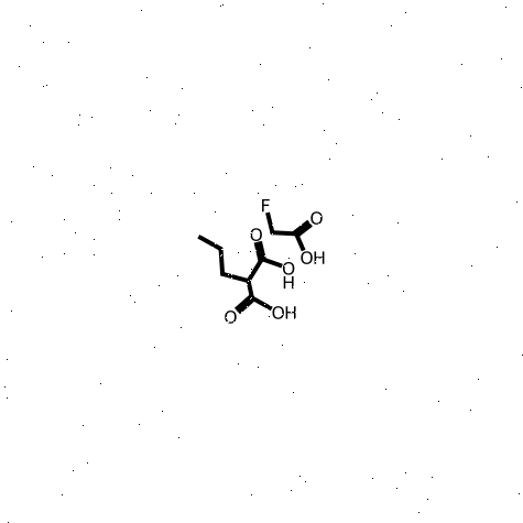 CCCC(C(=O)O)C(=O)O.O=C(O)CF